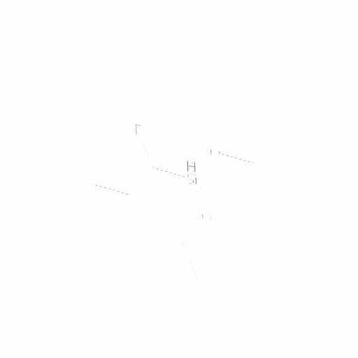 CCO[SiH](OCC)C(F)CC